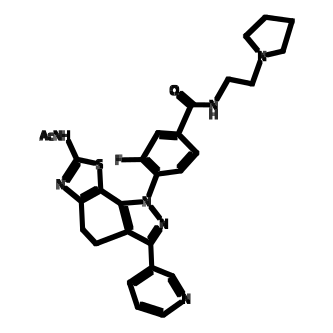 CC(=O)Nc1nc2c(s1)-c1c(c(-c3cccnc3)nn1-c1ccc(C(=O)NCCN3CCCC3)cc1F)CC2